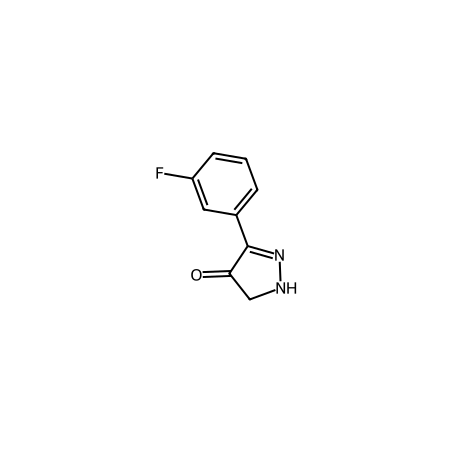 O=C1CNN=C1c1cccc(F)c1